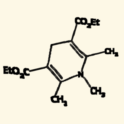 CCOC(=O)C1=C(C)N(C)C(C)=C(C(=O)OCC)C1